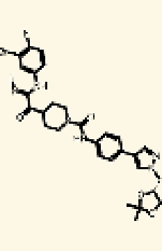 CC1(C)OC[C@@H](Cn2cc(-c3ccc(NC(=O)N4CCC(C(=O)/C(=N/I)Nc5ccc(F)c(Br)c5)CC4)cc3)cn2)O1